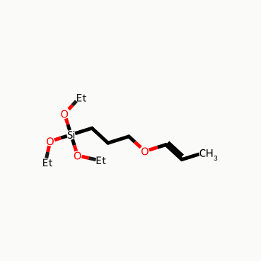 CC=COCCC[Si](OCC)(OCC)OCC